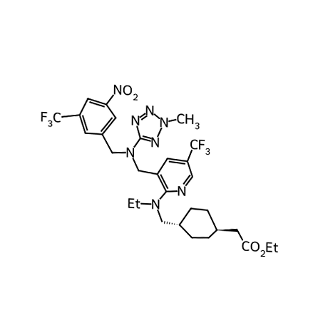 CCOC(=O)C[C@H]1CC[C@H](CN(CC)c2ncc(C(F)(F)F)cc2CN(Cc2cc([N+](=O)[O-])cc(C(F)(F)F)c2)c2nnn(C)n2)CC1